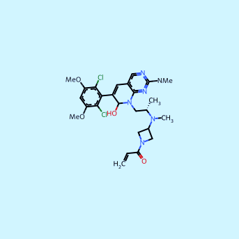 C=CC(=O)N1CC(N(C)[C@@H](C)CN2c3nc(NC)ncc3C=C(c3c(Cl)c(OC)cc(OC)c3Cl)C2O)C1